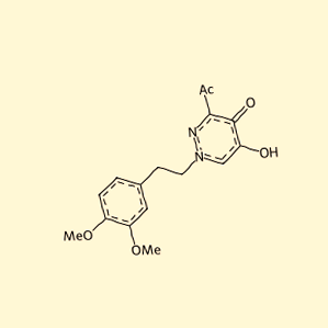 COc1ccc(CCn2cc(O)c(=O)c(C(C)=O)n2)cc1OC